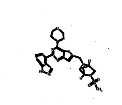 CS(=O)(=O)N1C[C@@H]2C[C@H]1CN2Cc1cc2nc(-c3cccc4[nH]ncc34)nc(N3CCOCC3)c2s1